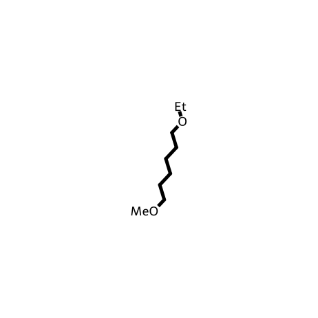 [CH2]COCCCCCCOC